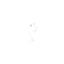 CCC(C)C(C(CC(=O)N1CCC[C@H]1[C@H](OC)[C@@H](C)C(=O)N[C@@H](Cc1ccccc1)C(=O)C(C)(C)C)OC)N(C)C(=O)C(NC(=O)C(C(C)C)N(C)C)C(C)C